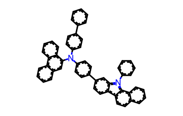 c1ccc(-c2ccc(N(c3ccc(-c4ccc5c6ccc7ccccc7c6n(-c6ccccc6)c5c4)cc3)c3cc4ccccc4c4ccccc34)cc2)cc1